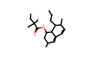 CCCC1C(C)C=CC2=CC(C)CC(OC(=O)C(C)(C)CC)C21